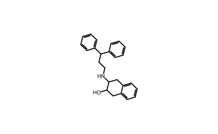 OC1Cc2ccccc2CC1NCCC(c1ccccc1)c1ccccc1